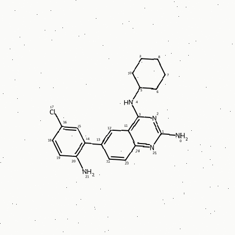 Nc1nc(NC2CCCCC2)c2cc(-c3cc(Cl)ccc3N)ccc2n1